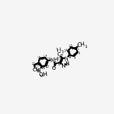 Cc1ccc(-n2nnc(C(=O)Nc3ccc4c(c3)B(O)OC4)c2C)cc1